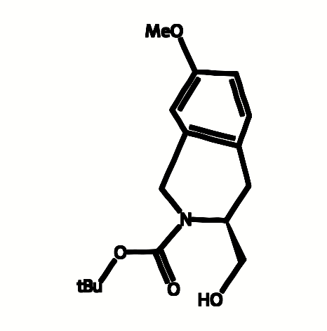 COc1ccc2c(c1)CN(C(=O)OC(C)(C)C)[C@H](CO)C2